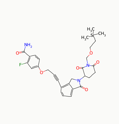 C[Si](C)(C)CCOCN1C(=O)CCC(N2Cc3c(C#CCOc4ccc(C(N)=O)c(F)c4)cccc3C2=O)C1=O